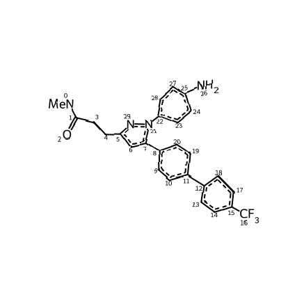 CNC(=O)CCc1cc(-c2ccc(-c3ccc(C(F)(F)F)cc3)cc2)n(-c2ccc(N)cc2)n1